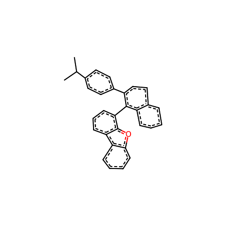 CC(C)c1ccc(-c2ccc3ccccc3c2-c2cccc3c2oc2ccccc23)cc1